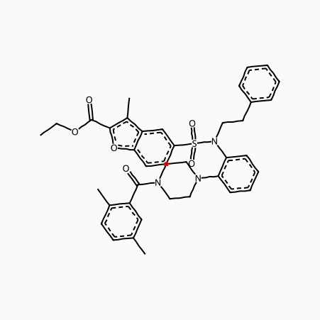 CCOC(=O)c1oc2ccc(S(=O)(=O)N(CCc3ccccc3)c3ccccc3N3CCN(C(=O)c4cc(C)ccc4C)CC3)cc2c1C